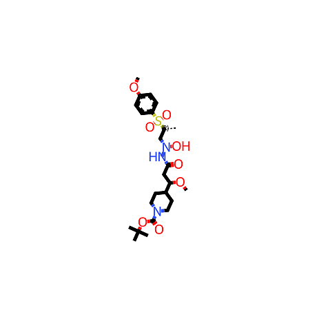 COc1ccc(S(=O)(=O)[C@H](C)CN(O)NC(=O)CC(OC)C2CCN(C(=O)OC(C)(C)C)CC2)cc1